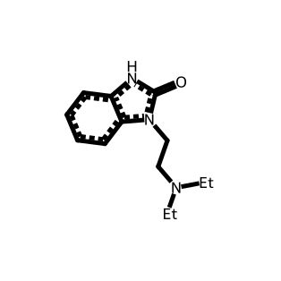 CCN(CC)CCn1c(=O)[nH]c2ccccc21